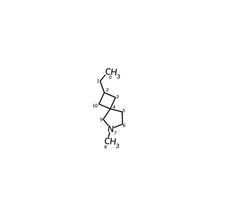 CCC1CC2(CCN(C)C2)C1